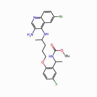 CC(CCCOc1ccc(F)cc1C(C)NC(=O)OC(C)(C)C)Nc1c(N)cnc2ccc(Br)cc12